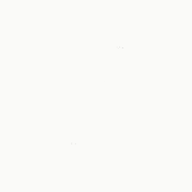 COCCOCOCCCCCCCCC=O